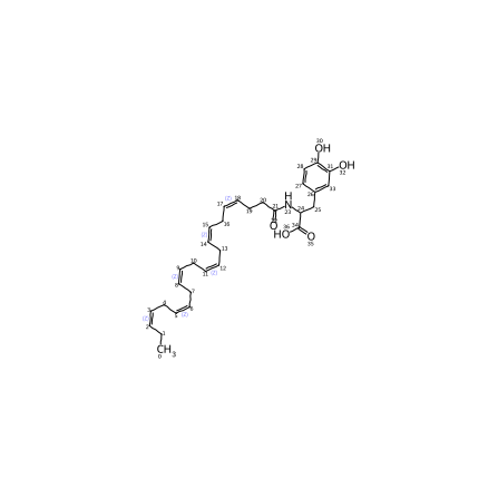 CC/C=C\C/C=C\C/C=C\C/C=C\C/C=C\C/C=C\CCC(=O)NC(Cc1ccc(O)c(O)c1)C(=O)O